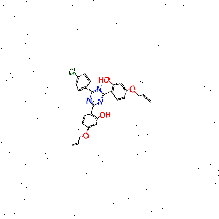 C=CCOc1ccc(-c2nc(-c3ccc(Cl)cc3)nc(-c3ccc(OCC=C)cc3O)n2)c(O)c1